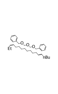 CC/C=C\CCCCCCCC/C=C/CCCC.c1ccc(COCOCOCc2ccccc2)cc1